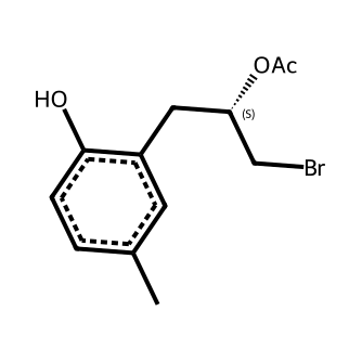 CC(=O)O[C@H](CBr)Cc1cc(C)ccc1O